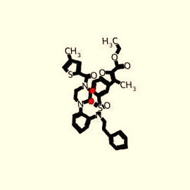 CCOC(=O)c1oc2ccc(S(=O)(=O)N(CCc3ccccc3)c3ccccc3N3CCN(C(=O)c4cc(C)cs4)CC3)cc2c1C